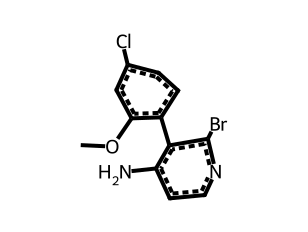 COc1cc(Cl)ccc1-c1c(N)ccnc1Br